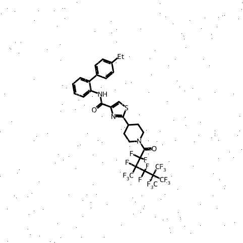 CCc1ccc(-c2ccccc2NC(=O)c2csc(C3CCN(C(=O)C(F)(F)C(F)(C(F)(F)F)C(F)(F)C(C(F)(F)F)(C(F)(F)F)C(F)(F)F)CC3)n2)cc1